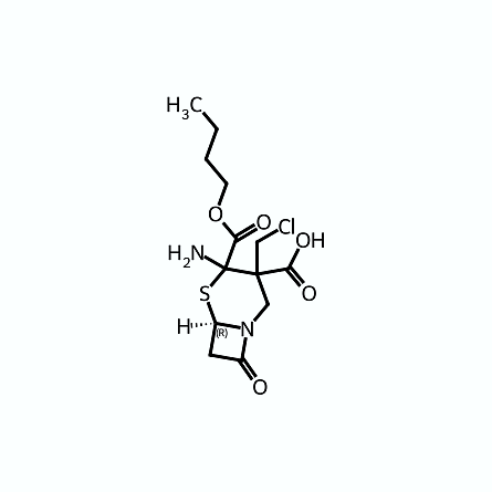 CCCCOC(=O)C1(N)S[C@@H]2CC(=O)N2CC1(CCl)C(=O)O